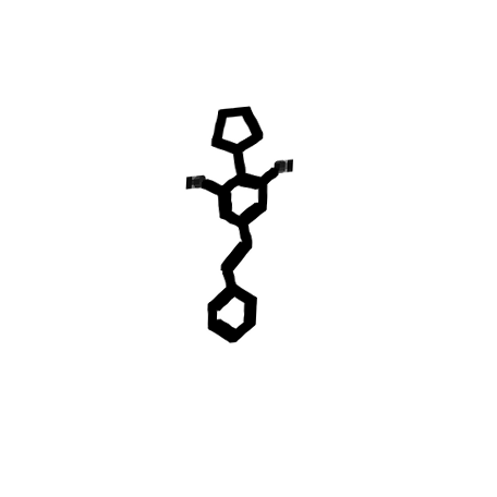 Oc1cc(C=Cc2ccccc2)cc(O)c1C1CCCC1